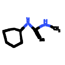 CNC(=[Se])NC1CCCCC1